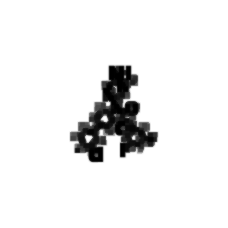 CC1(Cc2cc(F)cc(F)c2)C(=O)N(c2cnc(N)cn2)c2ccc(-c3cccc(Cl)c3)cc21